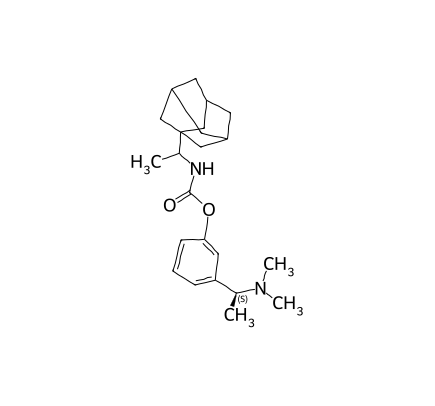 CC(NC(=O)Oc1cccc([C@H](C)N(C)C)c1)C12CC3CC(CC(C3)C1)C2